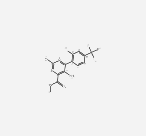 CNC(=O)c1nc(Cl)nc(-c2ccc(C(F)(F)F)cc2F)c1N